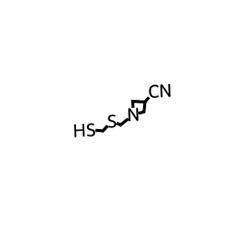 N#CC1CN(CSCS)C1